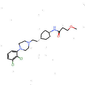 COCCC(=O)N[C@H]1CC[C@H](CCN2CCN(c3cccc(Cl)c3Cl)CC2)CC1